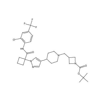 CC(C)(C)OC(=O)N1CC(CN2CCC(c3cnn(C4(C(=O)Nc5ccc(C(F)(F)F)cc5Cl)CCC4)c3)CC2)C1